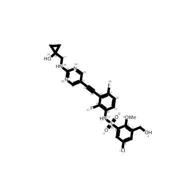 COc1c(CO)cc(Cl)cc1S(=O)(=O)Nc1ccc(F)c(C#Cc2cnc(NCC3(O)CC3)nc2)c1F